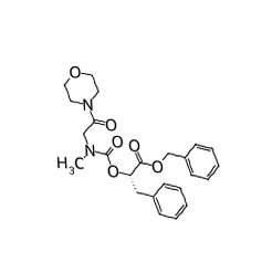 CN(CC(=O)N1CCOCC1)C(=O)O[C@@H](Cc1ccccc1)C(=O)OCc1ccccc1